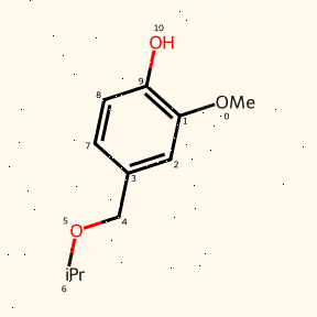 COc1cc(COC(C)C)ccc1O